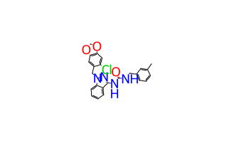 Cc1cccc(CNC(=O)Nc2nn(Cc3cc4c(cc3Cl)OCO4)c3ccccc23)c1